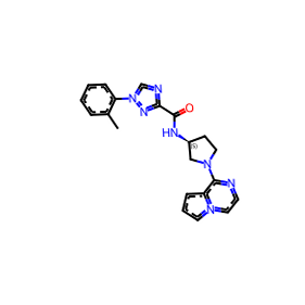 Cc1ccccc1-n1cnc(C(=O)N[C@H]2CCN(c3nccn4cccc34)C2)n1